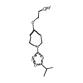 CC(C)c1nc(N2CCC(OCCO)CC2)no1